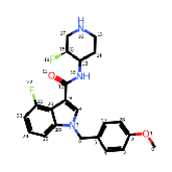 COc1ccc(Cn2cc(C(=O)NC3CCNC[C@@H]3F)c3c(F)cccc32)cc1